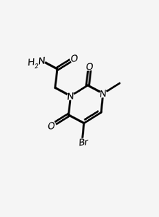 Cn1cc(Br)c(=O)n(CC(N)=O)c1=O